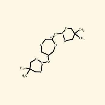 CC1(C)COP(O[C@H]2COC[C@@H](OP3OCC(C)(C)CO3)OC2)OC1